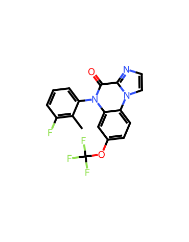 Cc1c(F)cccc1-n1c(=O)c2nccn2c2ccc(OC(F)(F)F)cc21